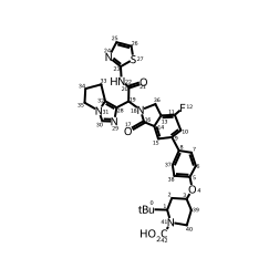 CC(C)(C)C1CC(Oc2ccc(-c3cc(F)c4c(c3)C(=O)N(C(C(=O)Nc3nccs3)c3ncn5c3CCC5)C4)cc2)CCN1C(=O)O